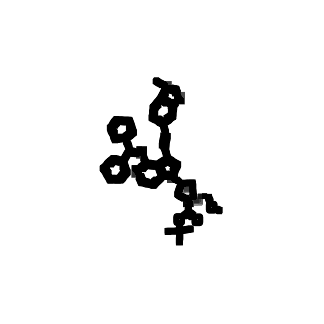 COC[C@H]1C[C@H](n2cc(C#Cc3ccc4c(c3)ncn4C)c3c(N=C(c4ccccc4)c4ccccc4)nccc32)CN1C(=O)OC(C)(C)C